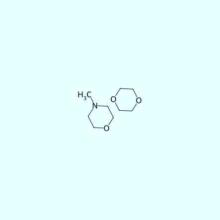 C1COCCO1.CN1CCOCC1